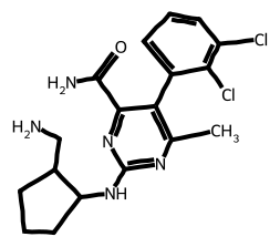 Cc1nc(NC2CCCC2CN)nc(C(N)=O)c1-c1cccc(Cl)c1Cl